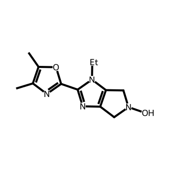 CCn1c(-c2nc(C)c(C)o2)nc2c1CN(O)C2